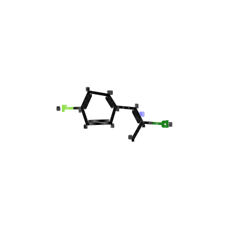 [CH2]/C(Cl)=C\c1ccc(F)cc1